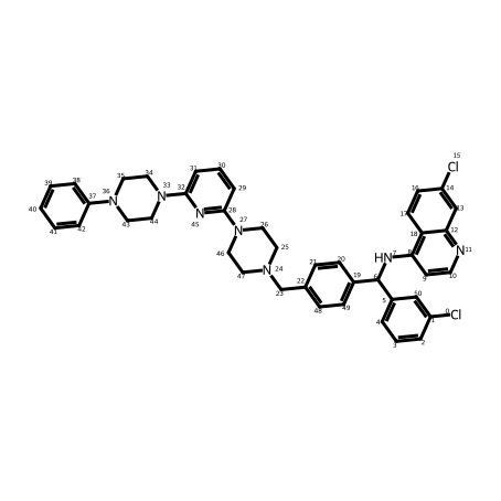 Clc1cccc(C(Nc2ccnc3cc(Cl)ccc23)c2ccc(CN3CCN(c4cccc(N5CCN(c6ccccc6)CC5)n4)CC3)cc2)c1